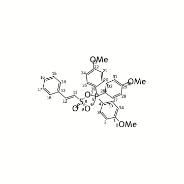 COc1ccc(P(C)(OS(=O)(=O)C=Cc2ccccc2)(c2ccc(OC)cc2)c2ccc(OC)cc2)cc1